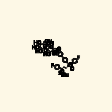 CC(C)(C)[Si](C)(C)O[C@@H](CC[C@H]1C(=O)N(c2ccc(F)cc2)[C@@H]1c1ccc(-c2ccc(S(=O)(=O)CC3OC(CO)[C@@H](OC4OC(CO)[C@@H](O)[C@H](O)[C@@H]4O)[C@H](O)[C@@H]3O)cc2)cc1)c1ccc(F)cc1